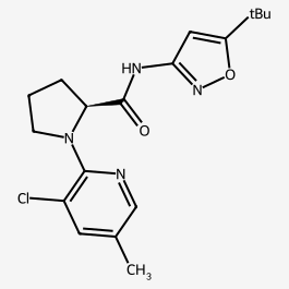 Cc1cnc(N2CCC[C@H]2C(=O)Nc2cc(C(C)(C)C)on2)c(Cl)c1